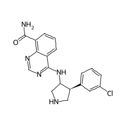 NC(=O)c1cccc2c(NC3CNC[C@@H]3c3cccc(Cl)c3)ncnc12